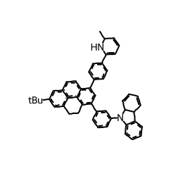 CC1C=CC=C(c2ccc(-c3cc(-c4cccc(N5c6ccccc6C6C=CC=CC65)c4)c4c5c3ccc3cc(C(C)(C)C)cc(c35)CC4)cc2)N1